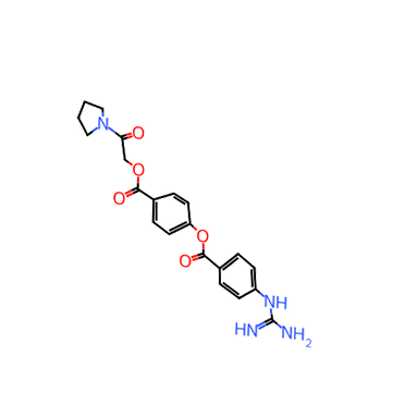 N=C(N)Nc1ccc(C(=O)Oc2ccc(C(=O)OCC(=O)N3CCCC3)cc2)cc1